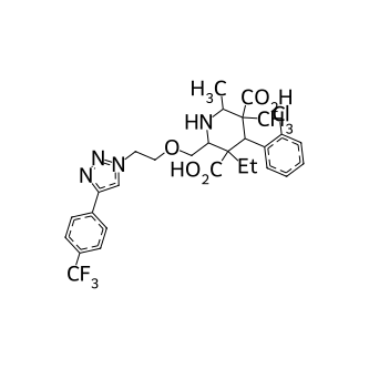 CCC1(C(=O)O)C(COCCn2cc(-c3ccc(C(F)(F)F)cc3)nn2)NC(C)C(C)(C(=O)O)C1c1ccccc1Cl